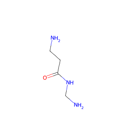 NCCC(=O)NCN